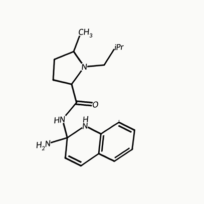 CC(C)CN1C(C)CCC1C(=O)NC1(N)C=Cc2ccc[c]c2N1